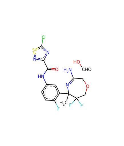 CC1(c2cc(NC(=O)c3nsc(Cl)n3)ccc2F)N=C(N)COCC1(F)F.O=CO